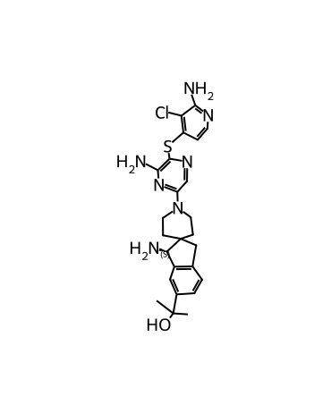 CC(C)(O)c1ccc2c(c1)[C@@H](N)C1(CCN(c3cnc(Sc4ccnc(N)c4Cl)c(N)n3)CC1)C2